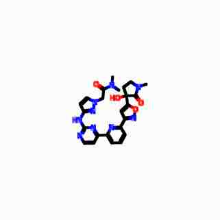 CN(C)C(=O)Cn1ccc(Nc2nccc(-c3cccc(-c4cc(C5(O)CCN(C)C5=O)on4)n3)n2)n1